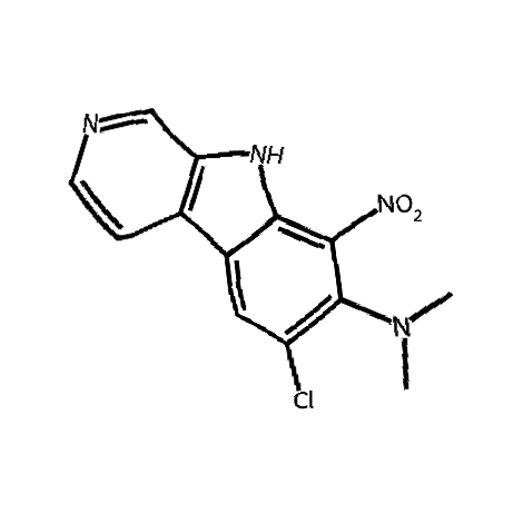 CN(C)c1c(Cl)cc2c([nH]c3cnccc32)c1[N+](=O)[O-]